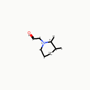 CC1CCCN(CC=O)C1C